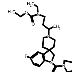 CCOC(=O)N(CC)CCC(C)N1CCC2(CC1)CN(C(=O)N1CCCC1)c1ccc(F)cc12